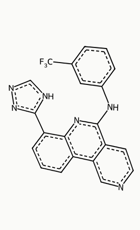 FC(F)(F)c1cccc(Nc2nc3c(-c4nnc[nH]4)cccc3c3cnccc23)c1